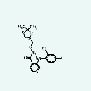 CC1(C)OC[C@H](CONC(=O)c2ccncc2Nc2ccc(I)cc2Cl)O1